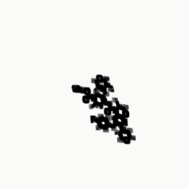 C[C@@H]1CN(CC(=O)N2c3cc(Cc4ccc(F)cc4)c(N4CCOCC4)nc3OC[C@@H]2C)[C@@H](CN2[C@H](C)COC[C@H]2C)CN1C(=O)OC(C)(C)C